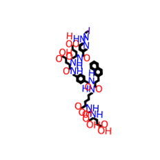 O=C(O)CCC(NC(=O)NC(CCCCNC(=O)C(Cc1ccc2ccccc2c1)NC(=O)c1ccc(CNC(=O)C(CCC(=O)O)NC(=O)C(CCC(=O)O)NC(=O)c2ccc(N/N=C/I)nc2)cc1)C(=O)O)C(=O)O